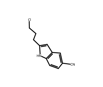 N#Cc1ccc2[nH]c(CCCCl)cc2c1